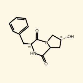 O=C1N[C@@H](Cc2ccccc2)C(=O)N2C[C@H](O)CC12